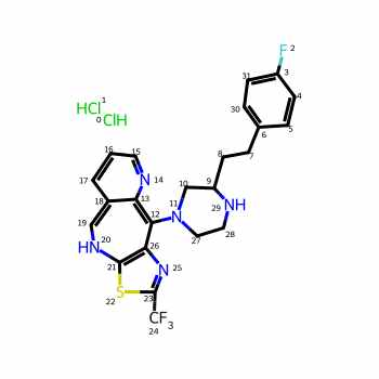 Cl.Cl.Fc1ccc(CCC2CN(C3=c4ncccc4=CNc4sc(C(F)(F)F)nc43)CCN2)cc1